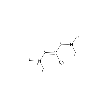 CN(C)/C=C(\C#N)C=[N+](C)C